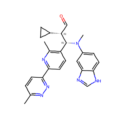 Cc1ccc(-c2ccc([C@H]([C@@H](C=O)C3CC3)N(C)c3ccc4[nH]cnc4c3)c(C)n2)nn1